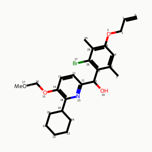 C=CCOc1cc(C)c(C(O)c2ccc(OCOC)c(C3CCCCC3)n2)c(Br)c1C